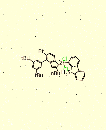 CCCCC1=Cc2c(ccc(CC)c2-c2cc(C(C)(C)C)cc(C(C)(C)C)c2)[CH]1[Zr]([Cl])([Cl])[c]1cccc2c1[SiH2]c1ccccc1-2